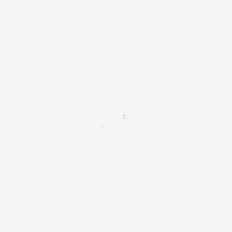 O=C1CCC(c2ncc(C(F)(F)F)cc2F)CC1